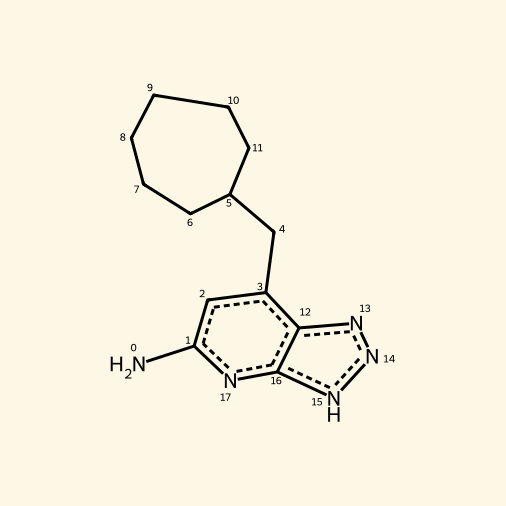 Nc1cc(CC2CCCCCC2)c2nn[nH]c2n1